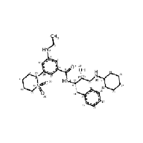 CCNc1cc(C(=O)N[C@@H](Cc2ccccc2)[C@H](O)CNC2CCCCC2)cc(N2CCCCS2(=O)=O)c1